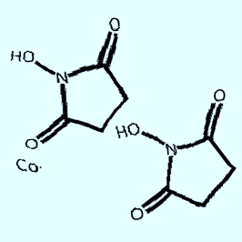 O=C1CCC(=O)N1O.O=C1CCC(=O)N1O.[Co]